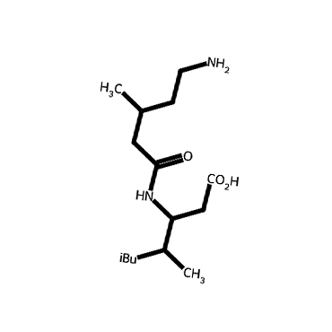 CCC(C)C(C)C(CC(=O)O)NC(=O)CC(C)CCN